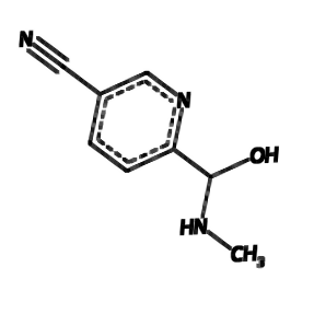 CNC(O)c1ccc(C#N)cn1